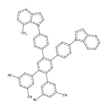 Cc1cccc2ccn(-c3ccc(-c4cc(-c5cc(C#N)cc(C#N)c5)c(-c5cc(C#N)cc(C#N)c5)cc4-c4ccc(-n5ccc6ccccc65)cc4)cc3)c12